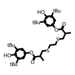 CC(CSCCSCC(C)C(=O)Oc1cc(C(C)(C)C)c(O)c(C(C)(C)C)c1)C(=O)Oc1cc(C(C)(C)C)c(O)c(C(C)(C)C)c1